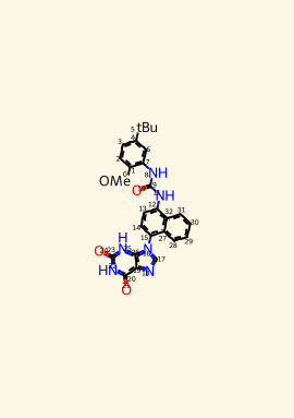 COc1ccc(C(C)(C)C)cc1NC(=O)Nc1ccc(-n2cnc3c(=O)[nH]c(=O)[nH]c32)c2ccccc12